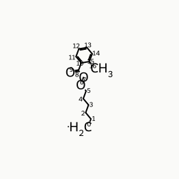 [CH2]CCCCCOOC(=O)c1ccccc1C